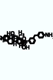 C[C@]12C=CC(=O)C=C1CC[C@@H]1[C@@H]2[C@@H](O)C[C@@]2(C)[C@H]1C[C@H]1O[C@H](c3cccc(Cc4ccc(N)cc4)c3)O[C@]12C(=O)CO